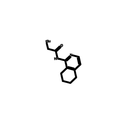 CC(C)(C)CC(=O)Nc1nccc2c1CCCC2